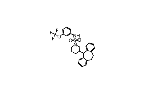 O=S(=O)(Nc1cccc(OC(F)(F)F)c1)N1CCCC(C2c3ccccc3CCc3ccccc32)C1